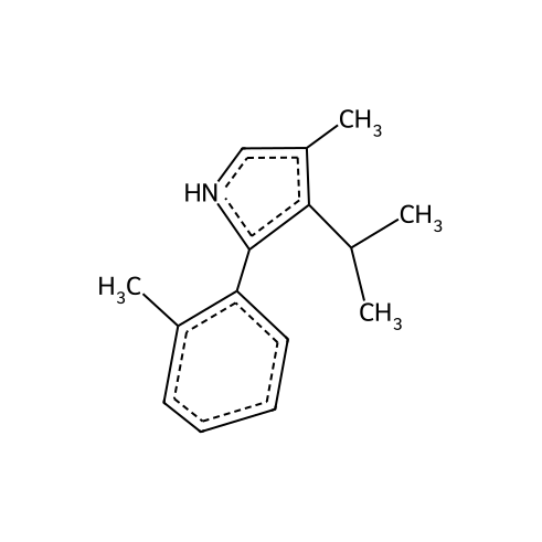 Cc1ccccc1-c1[nH]cc(C)c1C(C)C